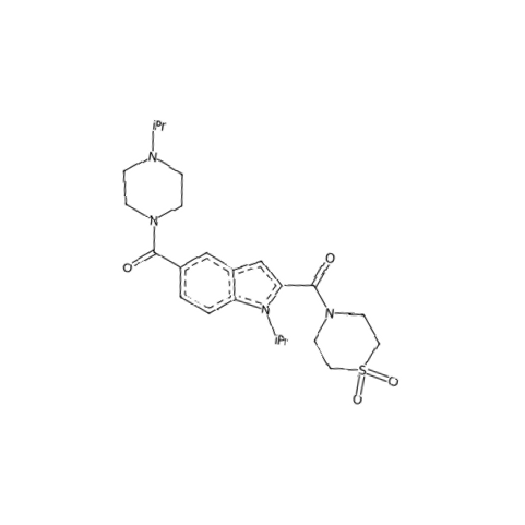 CC(C)N1CCN(C(=O)c2ccc3c(c2)cc(C(=O)N2CCS(=O)(=O)CC2)n3C(C)C)CC1